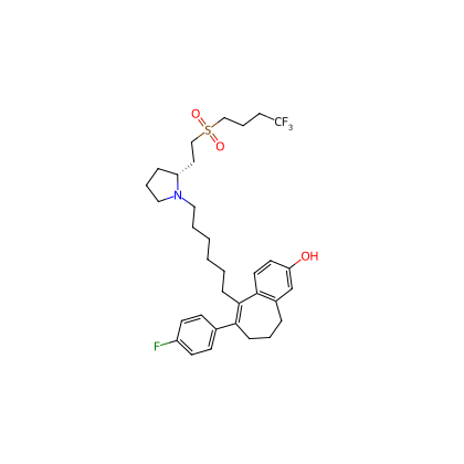 O=S(=O)(CCCC(F)(F)F)CC[C@H]1CCCN1CCCCCCC1=C(c2ccc(F)cc2)CCCc2cc(O)ccc21